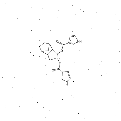 O=C(OC1CC2C3CCC(C3)C2C1OC(=O)c1cc[nH]c1)c1cc[nH]c1